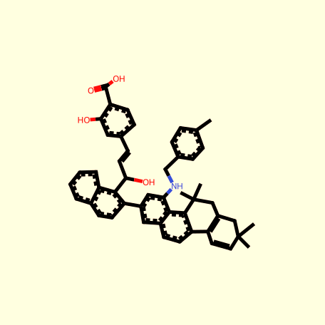 Cc1ccc(CNc2cc(-c3ccc4ccccc4c3C(O)C=Cc3ccc(C(=O)O)c(O)c3)cc3ccc4c(c23)C(C)(C)CC2=C4C=CC(C)(C)C2)cc1